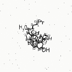 CC(C)CCC[C@@H](C)[C@H]1CC[C@H]2[C@@H]3CC=C4C[C@@H](O)CC(c5ncc[nH]5)[C@]4(C)[C@H]3CC[C@]12C